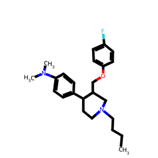 CCCCN1CCC(c2ccc(N(C)C)cc2)C(COc2ccc(F)cc2)C1